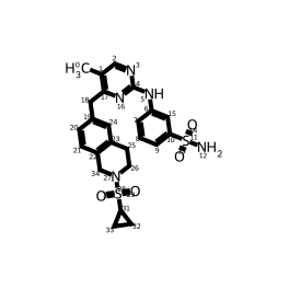 Cc1cnc(Nc2cccc(S(N)(=O)=O)c2)nc1Cc1ccc2c(c1)CCN(S(=O)(=O)C1CC1)C2